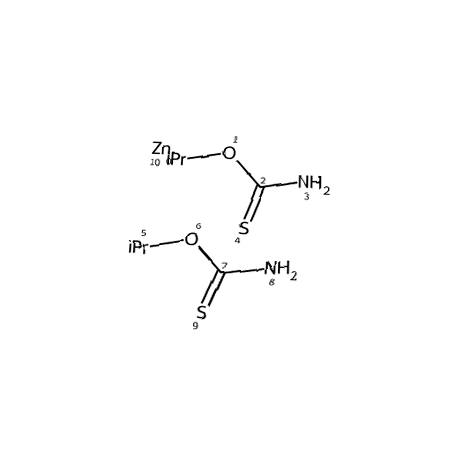 CC(C)OC(N)=S.CC(C)OC(N)=S.[Zn]